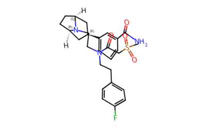 CS(=O)(=O)CC(=O)N(CCc1ccc(F)cc1)CCN1[C@@H]2CC[C@H]1C[C@@H](c1cccc(C(N)=O)c1)C2